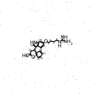 N=C(N)NCCCCOc1ccc2c(C(CC(=O)O)c3ccccc3)c[nH]c2c1